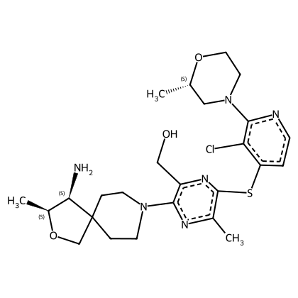 Cc1nc(N2CCC3(CC2)CO[C@@H](C)[C@H]3N)c(CO)nc1Sc1ccnc(N2CCO[C@@H](C)C2)c1Cl